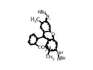 CCCC/N=c1/cc2oc3cc(NCCCC)c(C)cc3c(-c3ccccc3C(=O)O)c-2cc1C